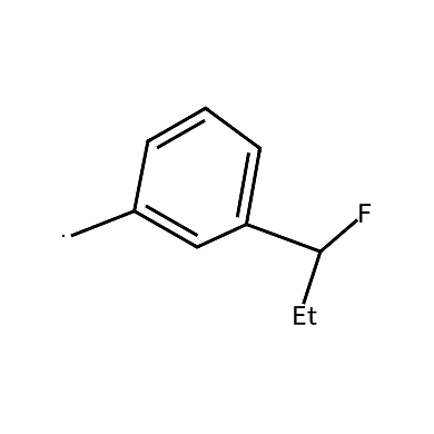 [CH2]c1cccc(C(F)CC)c1